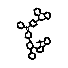 CC1(C)c2ccccc2-c2cccc(-c3cc(-c4ccc(N(c5ccccc5)c5ccc(-c6cc7ccccc7c7ccccc67)cc5)cc4)ccc3-c3ccccc3)c21